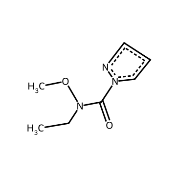 CCN(OC)C(=O)n1cccn1